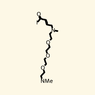 CNCCOCCOCCOCCN(C)C/C=C/C(=O)I